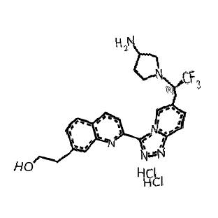 Cl.Cl.NC1CCN([C@H](c2ccc3nnc(-c4ccc5ccc(CCO)cc5n4)n3c2)C(F)(F)F)C1